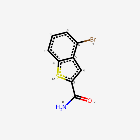 NC(=O)c1cc2c(Br)cccc2s1